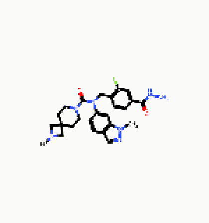 CCN1CC2(CCN(C(=O)N(Cc3ccc(C(=O)NN)cc3F)c3ccc4cnn(C)c4c3)CC2)C1